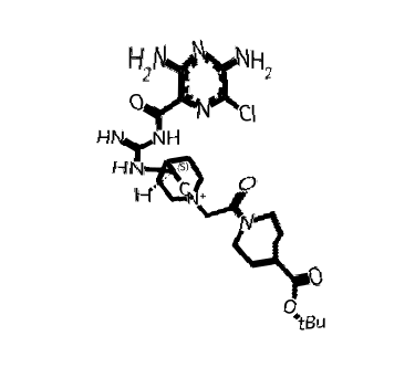 CC(C)(C)OC(=O)C1CCN(C(=O)C[N+]23CCC(CC2)[C@H](NC(=N)NC(=O)c2nc(Cl)c(N)nc2N)C3)CC1